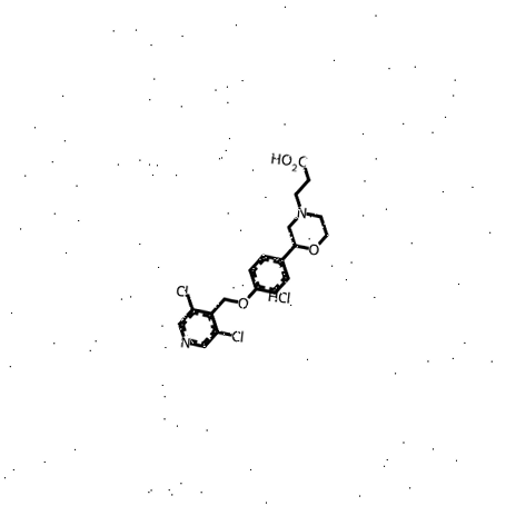 Cl.O=C(O)CCN1CCOC(c2ccc(OCc3c(Cl)cncc3Cl)cc2)C1